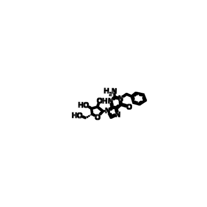 Nc1nc2c(ncn2[C@@H]2O[C@H](CO)C(O)C2O)c(=O)n1Cc1ccccc1